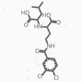 CC(C)CC(NC(CCNC(=O)c1ccc(Cl)c(Cl)c1)C(=O)O)C(=O)O